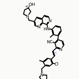 Cc1cc(/C=C/c2nccc(-c3cccc(Nc4nccc5cc(CN6CC[C@@H](O)C6)cnc45)c3C)c2C#N)c(Cl)cc1CN1CCCC1